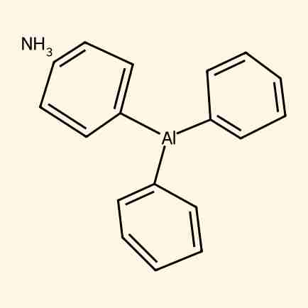 N.c1cc[c]([Al]([c]2ccccc2)[c]2ccccc2)cc1